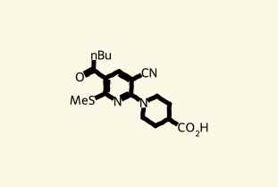 CCCCC(=O)c1cc(C#N)c(N2CCC(C(=O)O)CC2)nc1SC